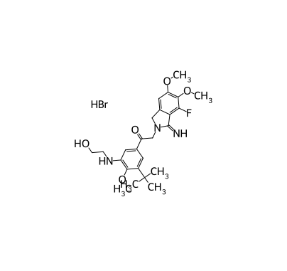 Br.COc1cc2c(c(F)c1OC)C(=N)N(CC(=O)c1cc(NCCO)c(OC)c(C(C)(C)C)c1)C2